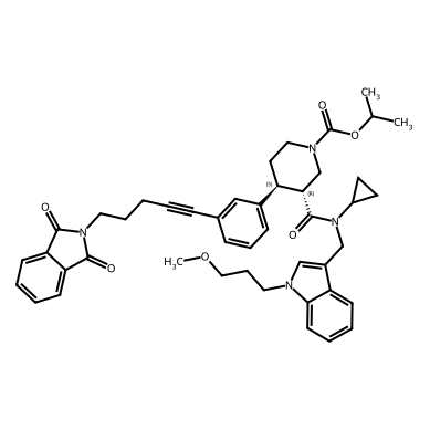 COCCCn1cc(CN(C(=O)[C@H]2CN(C(=O)OC(C)C)CC[C@@H]2c2cccc(C#CCCCN3C(=O)c4ccccc4C3=O)c2)C2CC2)c2ccccc21